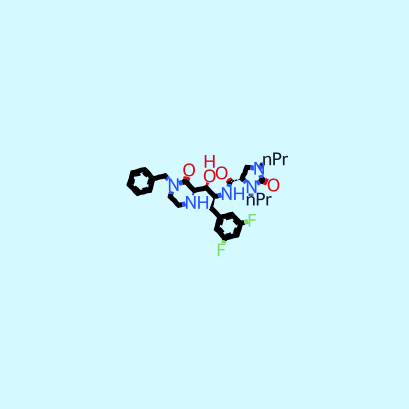 CCCN1C[C@@H](C(=O)N[C@@H](Cc2cc(F)cc(F)c2)[C@H](O)[C@@H]2NCCN(Cc3ccccc3)C2=O)N(CCC)C1=O